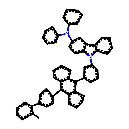 Cc1ccccc1-c1ccc(-c2c3ccccc3c(-c3cccc(-n4c5ccccc5c5cc(N(c6ccccc6)c6ccccc6)ccc54)c3)c3ccccc23)cc1